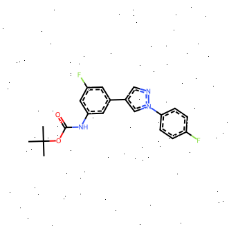 CC(C)(C)OC(=O)Nc1cc(F)cc(-c2cnn(-c3ccc(F)cc3)c2)c1